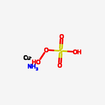 N.O=S(=O)(O)OO.[Cu]